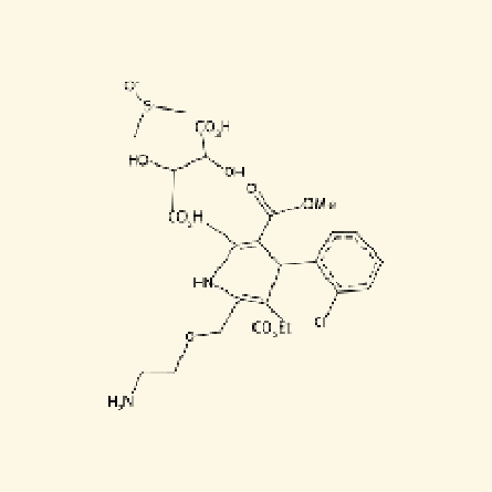 CCOC(=O)C1=C(COCCN)NC(C)=C(C(=O)OC)C1c1ccccc1Cl.C[S+](C)[O-].O=C(O)C(O)C(O)C(=O)O